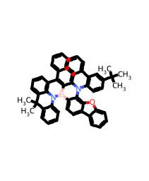 CC(C)(C)c1ccc(N2c3cc4ccccc4c4c3B(c3ccc5c(oc6ccccc65)c32)N2c3ccccc3C(C)(C)c3cccc-4c32)c(-c2ccccc2)c1